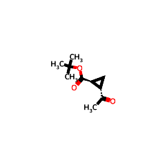 CC(=O)[C@H]1C[C@@H]1C(=O)OC(C)(C)C